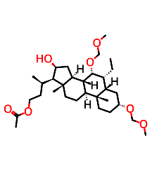 CC[C@H]1[C@@H](OCOC)[C@@H]2[C@H](CC[C@]3(C)[C@@H]([C@H](C)CCOC(C)=O)[C@@H](O)C[C@@H]23)[C@@]2(C)CC[C@@H](OCOC)C[C@@H]12